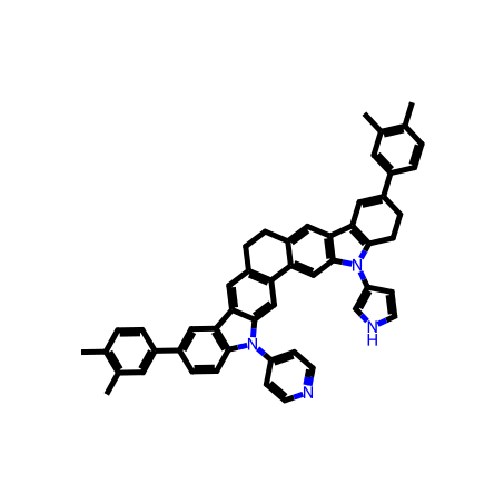 Cc1ccc(C2=Cc3c(n(-c4cc[nH]c4)c4cc5c(cc34)CCc3cc4c6cc(-c7ccc(C)c(C)c7)ccc6n(-c6ccncc6)c4cc3-5)CC2)cc1C